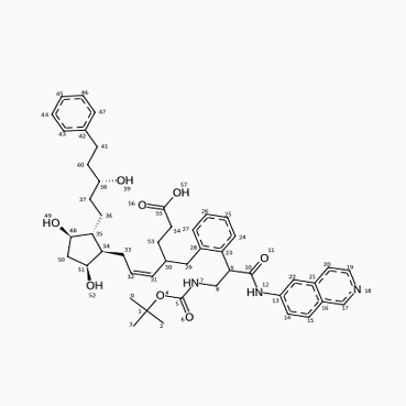 CC(C)(C)OC(=O)NCC(C(=O)Nc1ccc2cnccc2c1)c1ccccc1CC(/C=C\C[C@@H]1[C@@H](CC[C@@H](O)CCc2ccccc2)[C@H](O)C[C@@H]1O)CCC(=O)O